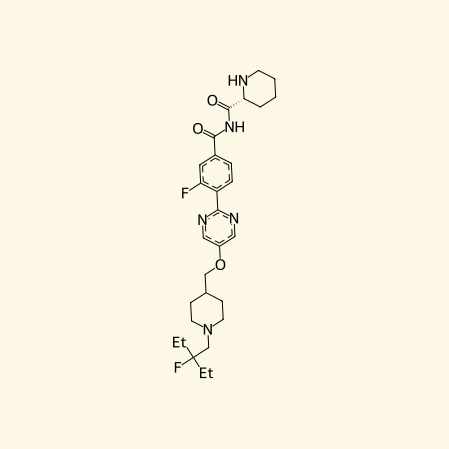 CCC(F)(CC)CN1CCC(COc2cnc(-c3ccc(C(=O)NC(=O)[C@H]4CCCCN4)cc3F)nc2)CC1